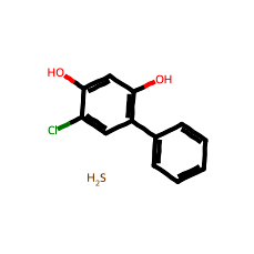 Oc1cc(O)c(-c2ccccc2)cc1Cl.S